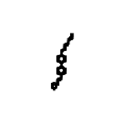 CCCCCCCC1CCC(C2CCC(CCCOC)CC2)CC1